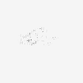 [2H]C([2H])([2H])C([2H])(C)C([2H])([2H])[C@@]1([2H])C([2H])([2H])N2[C@H](c3cc(OC)c(OC)cc3C([2H])([2H])C2([2H])[2H])C([2H])([2H])[C@@]1([2H])O